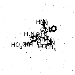 CC(C)(O)c1cnnn1[C@H]1C[C@@H](C(=O)NC(CCCCNC(=O)O)C(=O)C(N)=O)N(C(=O)[C@@H](CC2CCCCC2)NC(=O)c2c[nH]nn2)C1